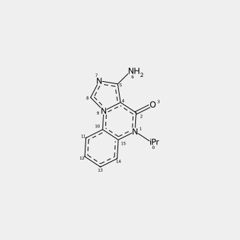 CC(C)n1c(=O)c2c(N)ncn2c2ccccc21